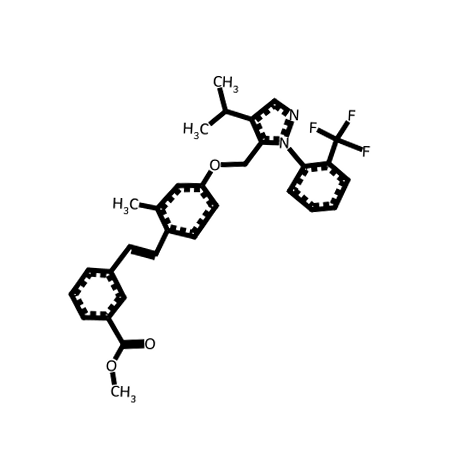 COC(=O)c1cccc(C=Cc2ccc(OCc3c(C(C)C)cnn3-c3ccccc3C(F)(F)F)cc2C)c1